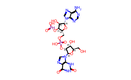 Nc1ncnc2c1ncn2[C@@H]1O[C@H](COP(=O)(O)O[C@@H]2[C@H](O)[C@@H](CO)O[C@H]2n2cnc3c(=O)[nH]c(=O)[nH]c32)[C@@H](O[PH](=O)O)[C@H]1O